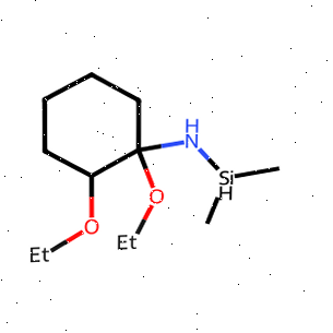 CCOC1CCCCC1(N[SiH](C)C)OCC